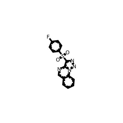 O=S(=O)(c1ccc(F)cc1)c1nnn2c1ncc1ccccc12